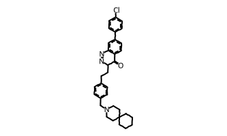 O=C1c2ccc(-c3ccc(Cl)cc3)cc2N=NC1CCc1ccc(CN2CCC3(CCCCC3)CC2)cc1